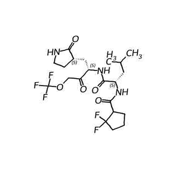 CC(C)C[C@H](NC(=O)C1CCCC1(F)F)C(=O)N[C@@H](C[C@@H]1CCNC1=O)C(=O)COC(F)(F)F